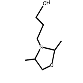 CC1COC(C)N1CCCO